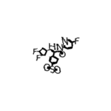 CS(=O)(=O)c1ccc(/C(=C\[C@H]2C[C@@H](F)[C@@H](F)C2)C(=O)Nc2ccc(F)cn2)cc1